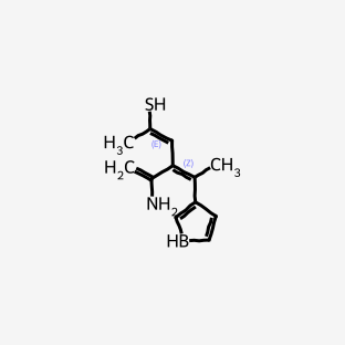 C=C(N)C(/C=C(\C)S)=C(/C)C1=CBC=C1